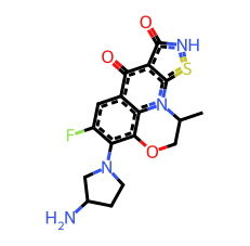 CC1COc2c(N3CCC(N)C3)c(F)cc3c(=O)c4c(=O)[nH]sc4n1c23